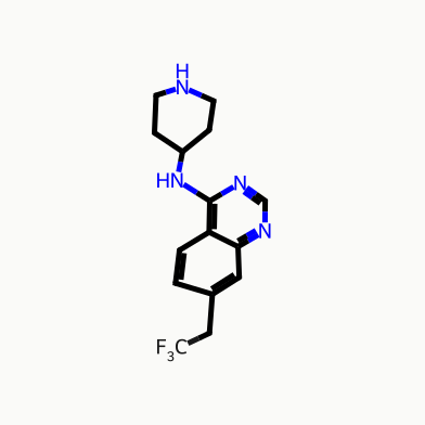 FC(F)(F)Cc1ccc2c(NC3CCNCC3)ncnc2c1